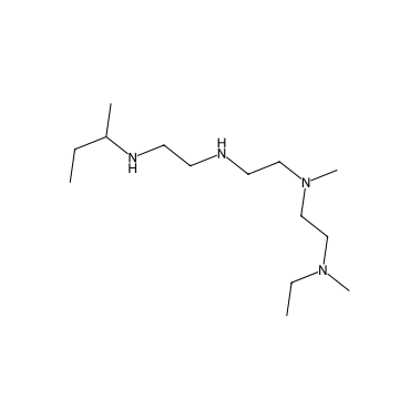 CCC(C)NCCNCCN(C)CCN(C)CC